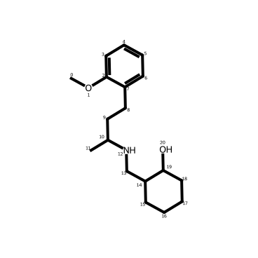 COc1ccccc1CCC(C)NCC1CCCCC1O